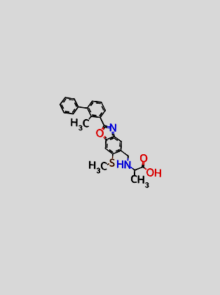 CSc1cc2oc(-c3cccc(-c4ccccc4)c3C)nc2cc1CNC(C)C(=O)O